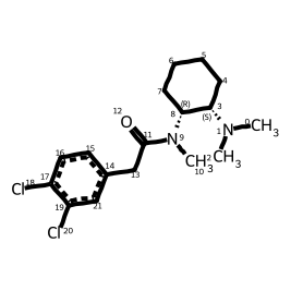 CN(C)[C@H]1CCCC[C@H]1N(C)C(=O)Cc1ccc(Cl)c(Cl)c1